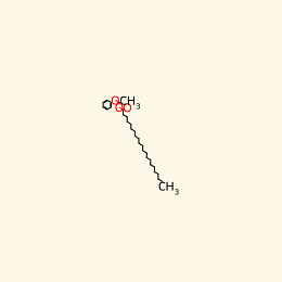 CCCCCCCCCCCCCCCCCCCCCC(=O)OC(C)Oc1ccccc1